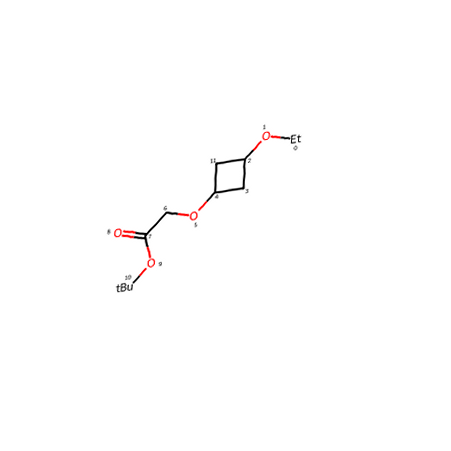 CCOC1CC(OCC(=O)OC(C)(C)C)C1